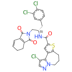 O=C(N[C@@H](Cc1ccc(Cl)c(Cl)c1)CN1C(=O)C2=C(CCC=C2)C1=O)c1cc2c(s1)CCCn1ncc(Cl)c1-2